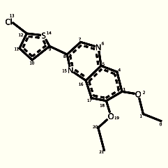 CCOc1cc2ncc(-c3ccc(Cl)s3)nc2cc1OCC